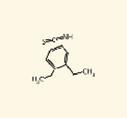 CCc1ccccc1CC.N=C=S